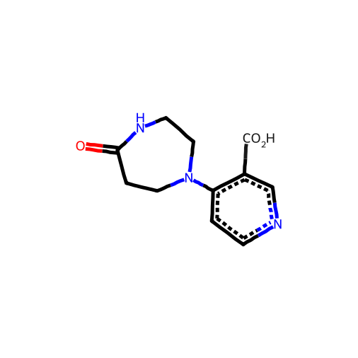 O=C1CCN(c2ccncc2C(=O)O)CCN1